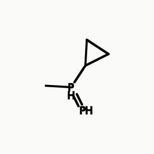 C[PH](=P)C1CC1